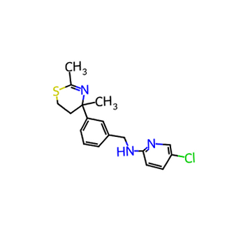 CC1=NC(C)(c2cccc(CNc3ccc(Cl)cn3)c2)CCS1